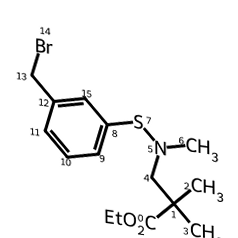 CCOC(=O)C(C)(C)CN(C)Sc1cccc(CBr)c1